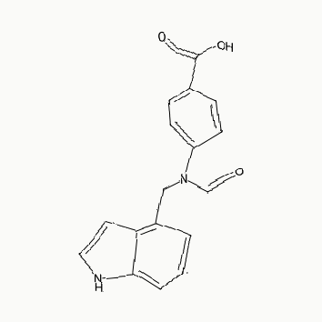 O=CN(Cc1c[c]cc2[nH]ccc12)c1ccc(C(=O)O)cc1